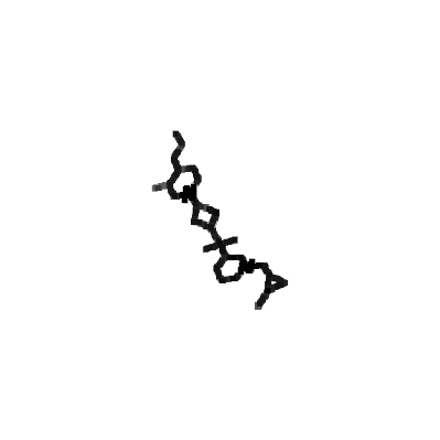 CCCC1CCN(C2CC(C(C)(C)C3CCCN(CC4CC4C)C3)C2)CC1C